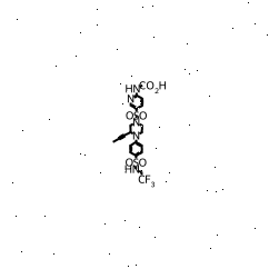 CC#CC1CN(S(=O)(=O)c2ccc(NC(=O)O)nc2)CCN1c1ccc(S(=O)(=O)NCC(F)(F)F)cc1